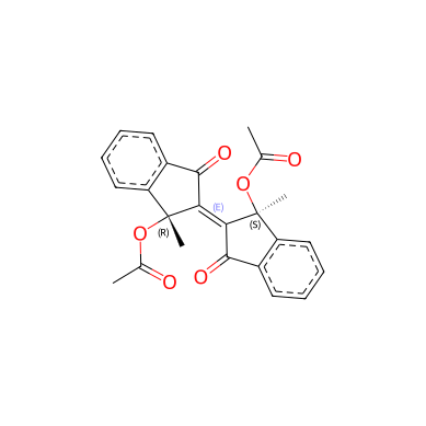 CC(=O)O[C@@]1(C)/C(=C2\C(=O)c3ccccc3[C@]2(C)OC(C)=O)C(=O)c2ccccc21